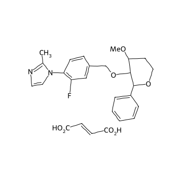 COC1CCOC(c2ccccc2)C1OCc1ccc(-n2ccnc2C)c(F)c1.O=C(O)C=CC(=O)O